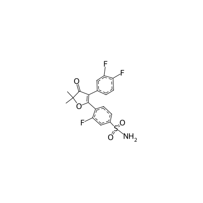 CC1(C)OC(c2ccc(S(N)(=O)=O)cc2F)=C(c2ccc(F)c(F)c2)C1=O